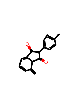 C=C1C=CC=C2C(=O)C(c3ccc(C)cc3)C(=O)C12